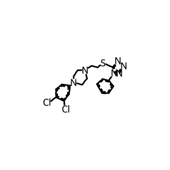 Clc1ccc(N2CCN(CCSc3nnnn3-c3ccccc3)CC2)cc1Cl